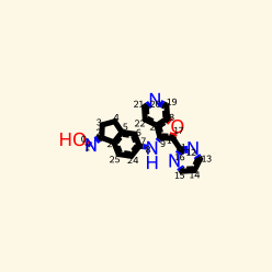 ON=C1CCc2cc(Nc3c(-c4ncccn4)oc4cnccc34)ccc21